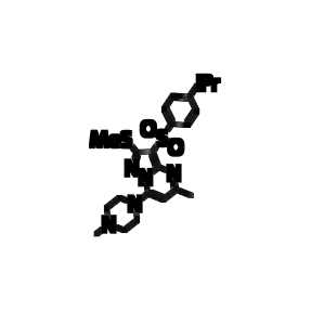 CSc1nn2c(N3CCN(C)CC3)cc(C)nc2c1S(=O)(=O)c1ccc(C(C)C)cc1